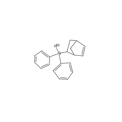 CCC[Si](c1ccccc1)(c1ccccc1)C1CC2C=CC1C2